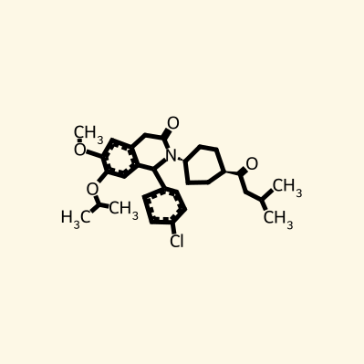 COc1cc2c(cc1OC(C)C)C(c1ccc(Cl)cc1)N([C@H]1CC[C@H](C(=O)CC(C)C)CC1)C(=O)C2